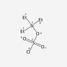 CC[Si](CC)(CC)OS(=O)(=O)Cl